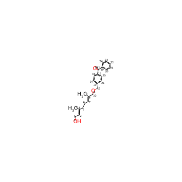 C/C(=C\CO)CC/C=C(\C)COCc1ccc(C(=O)c2ccccc2)cc1